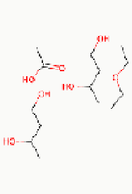 CC(=O)O.CC(O)CCO.CC(O)CCO.CCOCC